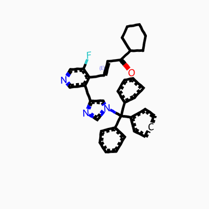 O=C(/C=C/c1c(F)cncc1-c1cn(C(c2ccccc2)(c2ccccc2)c2ccccc2)cn1)C1CCCCC1